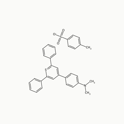 CN(C)c1ccc(-c2cc(-c3ccccc3)[s+]c(-c3ccccc3)c2)cc1.Cc1ccc(S(=O)(=O)[O-])cc1